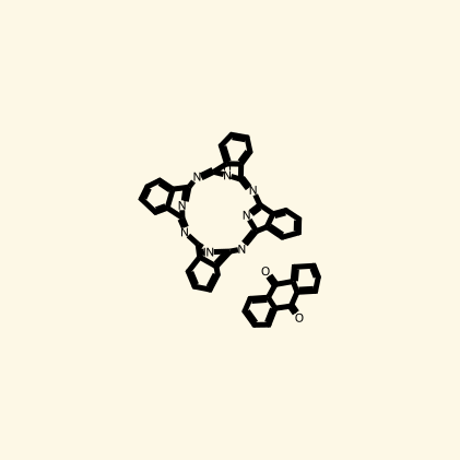 O=C1c2ccccc2C(=O)c2ccccc21.c1ccc2c(c1)-c1nc-2nc2[nH]c(nc3nc(nc4[nH]c(n1)c1ccccc41)-c1ccccc1-3)c1ccccc21